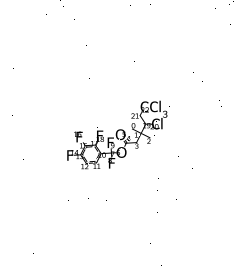 CC(C)(CC(=O)OC(F)(F)c1ccc(F)c(F)c1F)C(Cl)CC(Cl)(Cl)Cl